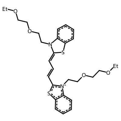 CCOCCOCCN1/C(=C/C=C/c2sc3ccccc3[n+]2CCOCCOCC)Sc2ccccc21